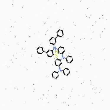 c1ccc(-c2cccc(N3c4cc(-c5ccccc5)ccc4[SH]4c5ccc(N(c6ccccc6)c6ccccc6)cc5N(c5ccccc5)c5cccc3c54)c2)cc1